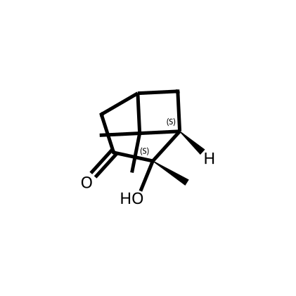 CC1(C)C2CC(=O)[C@@](C)(O)[C@H]1C2